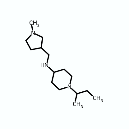 CCC(C)N1CCC(NCC2CCN(C)C2)CC1